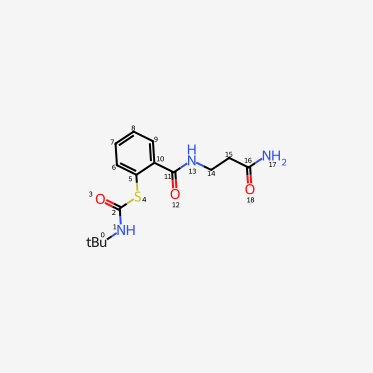 CC(C)(C)NC(=O)Sc1ccccc1C(=O)NCCC(N)=O